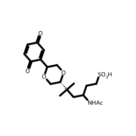 CC(=O)NC(CCS(=O)(=O)O)CC(C)(C)[C@@H]1COC(C2=CC(=O)C=CC2=O)CO1